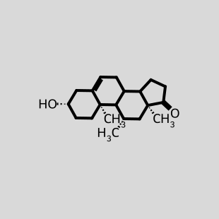 C[C@H]1C[C@]2(C)C(=O)CCC2C2CC=C3C[C@@H](O)CC[C@]3(C)C21